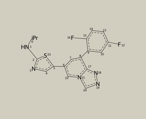 CC(C)Nc1ncc(-c2cc(-c3cc(F)ccc3F)c3nncn3c2)s1